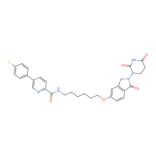 O=C1CCC(N2Cc3cc(OCCCCCCNC(=O)c4ccc(-c5ccc(F)cc5)cn4)ccc3C2=O)C(=O)N1